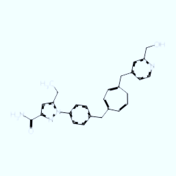 CCc1cc(C(N)=O)nn1-c1ccc(CC2=CC=C(Cc3ccnc(CO)c3)CC=C2)cc1